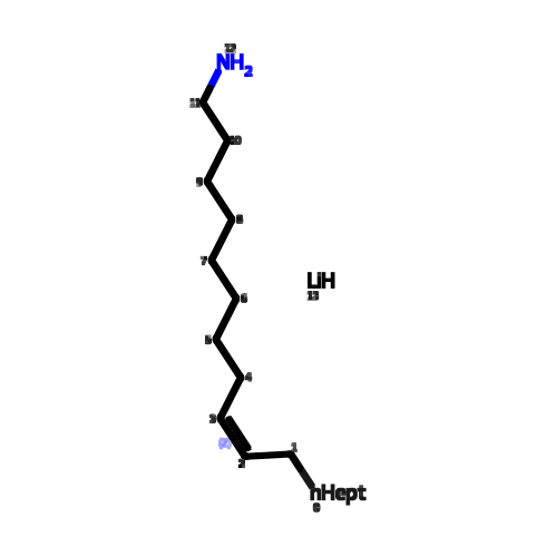 CCCCCCCC/C=C\CCCCCCCCN.[LiH]